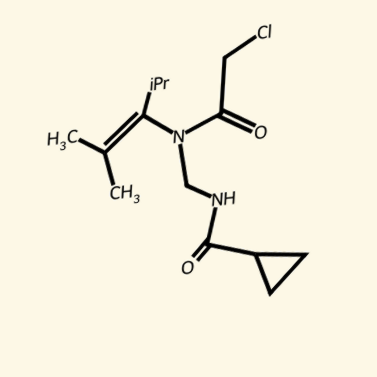 CC(C)=C(C(C)C)N(CNC(=O)C1CC1)C(=O)CCl